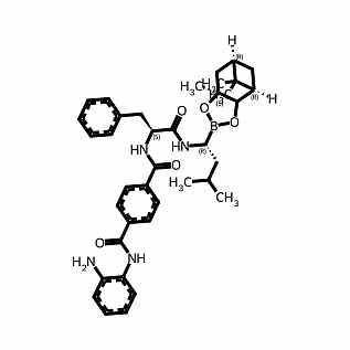 CC(C)C[C@H](NC(=O)[C@H](Cc1ccccc1)NC(=O)c1ccc(C(=O)Nc2ccccc2N)cc1)B1OC2[C@@H]3C[C@H](C[C@]2(C)O1)C3(C)C